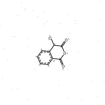 O=C1OC(=O)C(Cl)c2ccccc21